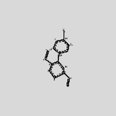 C=Cc1ccc(C=C)c(-c2ccc(C)cc2)c1